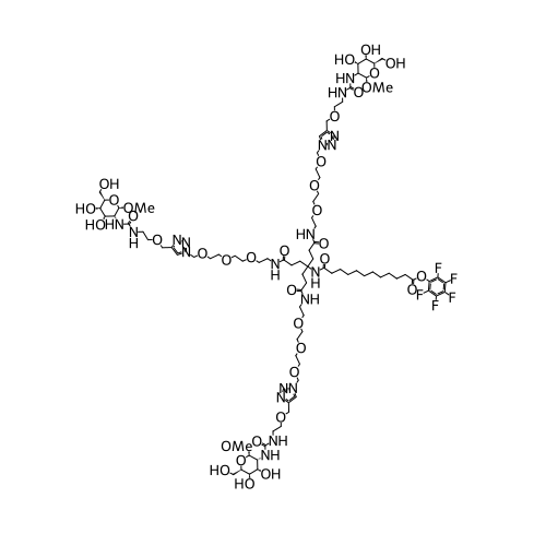 CO[C@@H]1O[C@H](CO)[C@H](O)[C@H](O)C1NC(=O)NCCOCc1cn(COCCOCCOCCNC(=O)CCC(CCC(=O)NCCOCCOCCOCn2cc(COCCNC(=O)N[C@H]3[C@H](OC)O[C@H](CO)[C@H](O)[C@@H]3O)nn2)(CCC(=O)NCCOCCOCCOCn2cc(COCCNC(=O)N[C@H]3[C@H](OC)O[C@H](CO)[C@H](O)[C@@H]3O)nn2)NC(=O)CCCCCCCCCCC(=O)Oc2c(F)c(F)c(F)c(F)c2F)nn1